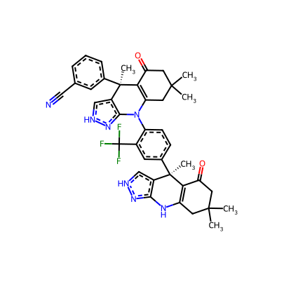 CC1(C)CC(=O)C2=C(C1)Nc1n[nH]cc1[C@@]2(C)c1ccc(N2C3=C(C(=O)CC(C)(C)C3)[C@](C)(c3cccc(C#N)c3)c3c[nH]nc32)c(C(F)(F)F)c1